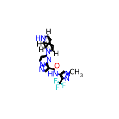 Cn1cc(NC(=O)c2cnn3ccc(N4[C@H]5[C@@H]6N[C@H]7CC56C[C@@H]74)nc23)c(C(F)(F)F)n1